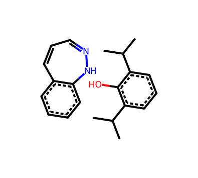 C1=Cc2ccccc2NN=C1.CC(C)c1cccc(C(C)C)c1O